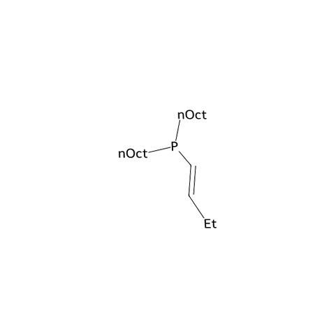 CC/C=C/P(CCCCCCCC)CCCCCCCC